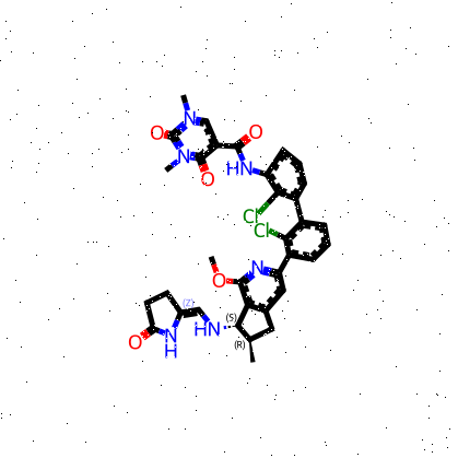 COc1nc(-c2cccc(-c3cccc(NC(=O)c4cn(C)c(=O)n(C)c4=O)c3Cl)c2Cl)cc2c1[C@@H](N/C=C1/CCC(=O)N1)[C@H](C)C2